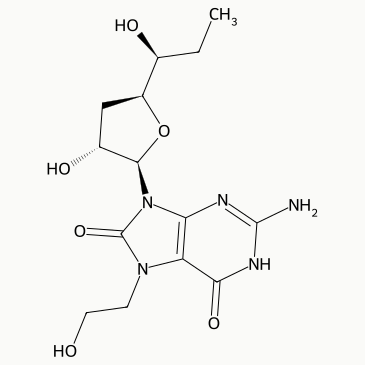 CC[C@H](O)[C@@H]1C[C@@H](O)[C@H](n2c(=O)n(CCO)c3c(=O)[nH]c(N)nc32)O1